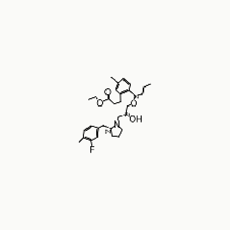 CCC[C@@H](OC[C@H](O)CN1CCC[C@H]1Cc1ccc(C)c(F)c1)c1ccc(C)cc1CCC(=O)OCC